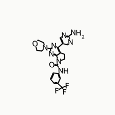 Nc1ncc(-c2nc(N3CCOCC3)nc3c2CCN3C(=O)Nc2cccc(C(F)(F)F)c2)cn1